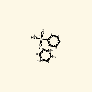 O=S(=O)(O)c1ccccc1.c1cnncn1